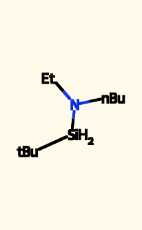 CCCCN(CC)[SiH2]C(C)(C)C